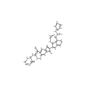 Cn1c(-c2cc3cccc(OC(F)Cn4ccnc4)c3n2CC2CC2)nc2cc3c(cc21)CCN(CC(CF)NC(=O)O)C3=O